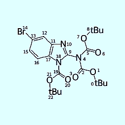 CC(C)(C)OC(=O)N(C(=O)OC(C)(C)C)c1nc2cc(Br)ccc2n1C(=O)OC(C)(C)C